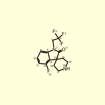 O=C1N(CC(F)(F)F)c2cccc(F)c2C12CCNCC2